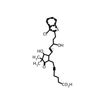 CC1(C)C(=O)C(CC#CCCCC(=O)O)C(/C=C/C(O)CCc2sc3ccccc3c2Cl)C1O